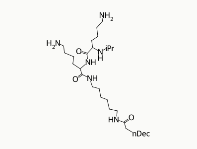 CCCCCCCCCCCC(=O)NCCCCCCNC(=O)C(CCCCN)NC(=O)C(CCCCN)NC(C)C